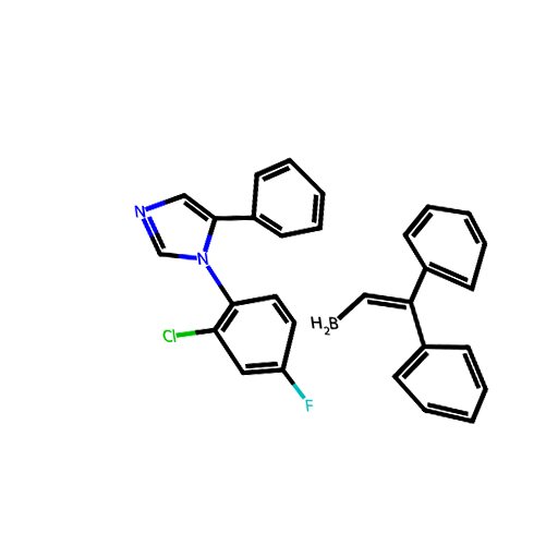 BC=C(c1ccccc1)c1ccccc1.Fc1ccc(-n2cncc2-c2ccccc2)c(Cl)c1